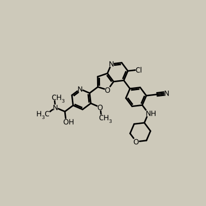 COc1cc(C(O)N(C)C)cnc1-c1cc2ncc(Cl)c(-c3ccc(NC4CCOCC4)c(C#N)c3)c2o1